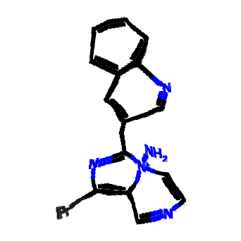 CC(C)C1=C2C=NC=C[N+]2(N)C(c2cnc3ccccc3c2)=N1